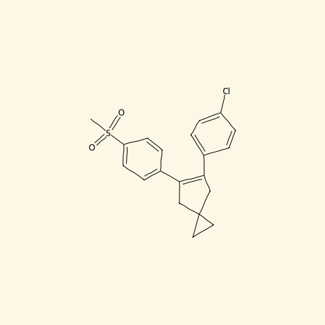 CS(=O)(=O)c1ccc(C2=C(c3ccc(Cl)cc3)CC3(CC3)C2)cc1